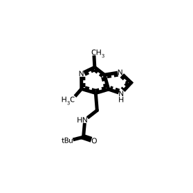 Cc1nc(C)c2nc[nH]c2c1CNC(=O)C(C)(C)C